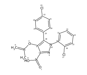 C=C(C)Oc1c(C(=O)O)nn(-c2ccccc2Cl)c1-c1ccc(Cl)cc1